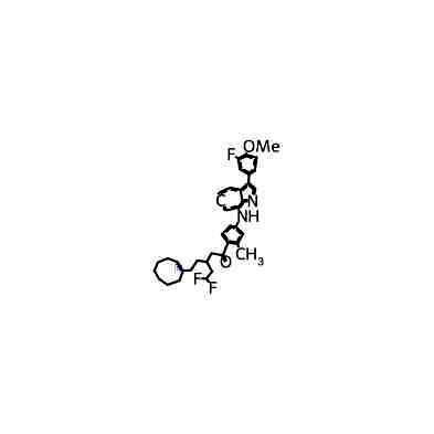 COc1ccc(-c2cnc3c(Nc4ccc(C(=O)CC(CC/C5=C/CCCCCC5)CC(F)F)c(C)c4)ccccc2-3)cc1F